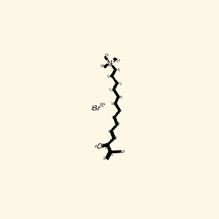 C=C(C)C(=O)CCCCCCCCCCC[N+](C)(C)C.[Br-]